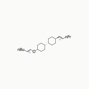 CCC/C=C/[C@H]1CC[C@H](C2CCC(O/C=C/CCCC)CC2)CC1